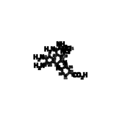 Cl.Cl.Nc1ccc(-c2nc3ccc(C(=O)O)cc3nc2-c2ccc(N)c(N)c2)cc1N